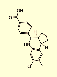 Cc1cc2c(cc1Cl)N[C@@H](c1ccc(C(=O)O)cc1)[C@H]1CCC[C@@H]21